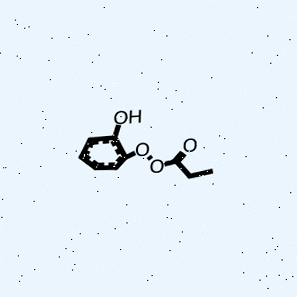 CCC(=O)OOc1ccccc1O